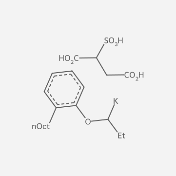 CCCCCCCCc1ccccc1O[CH]([K])CC.O=C(O)CC(C(=O)O)S(=O)(=O)O